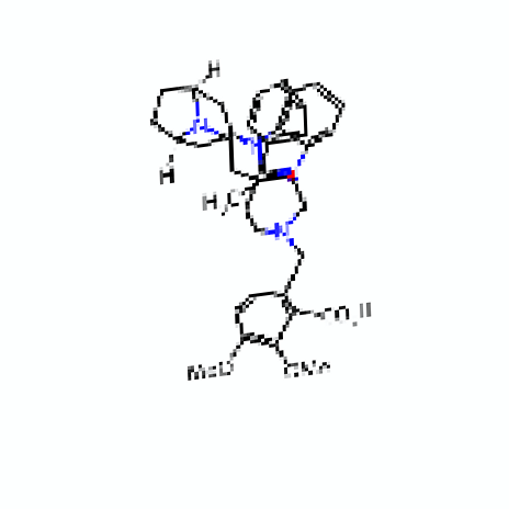 COc1ccc(CN2CCC(CCN3[C@@H]4CC[C@H]3C[C@@H](n3c(C)nc5ccccc53)C4)(c3ccccc3)CC2)c(C(=O)O)c1OC